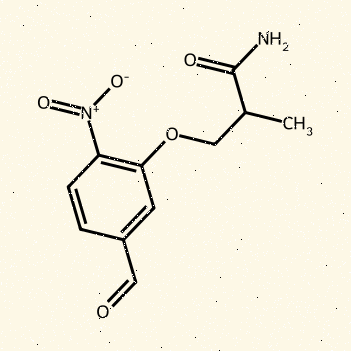 CC(COc1cc(C=O)ccc1[N+](=O)[O-])C(N)=O